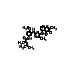 C=C(CN(C)C)C(=O)Nc1ccc(OC)c(Nc2ncc(C)c(Nc3ccccc3C(=O)C(=O)N(C)C)n2)c1